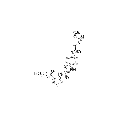 CCOC(=O)NC(=O)C1=CCSC1NC(=O)C1Nc2ccc(NC(=O)CNC(=O)OC(C)(C)C)cc2S1